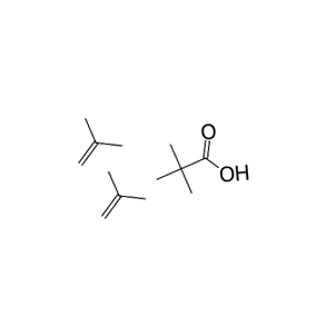 C=C(C)C.C=C(C)C.CC(C)(C)C(=O)O